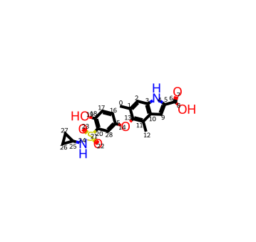 Cc1cc2[nH]c(C(=O)O)cc2c(C)c1Oc1ccc(O)c(S(=O)(=O)NC2CC2)c1